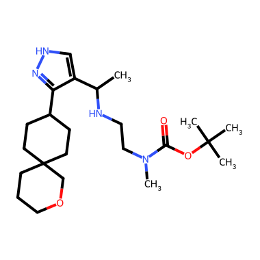 CC(NCCN(C)C(=O)OC(C)(C)C)c1c[nH]nc1C1CCC2(CCCOC2)CC1